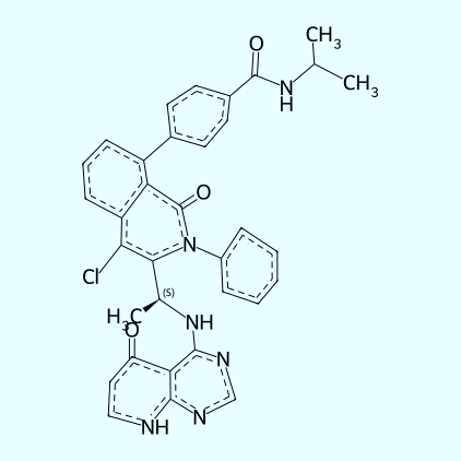 CC(C)NC(=O)c1ccc(-c2cccc3c(Cl)c([C@H](C)Nc4ncnc5[nH]ccc(=O)c45)n(-c4ccccc4)c(=O)c23)cc1